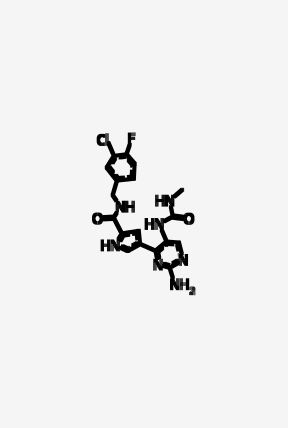 CNC(=O)Nc1cnc(N)nc1-c1c[nH]c(C(=O)NCc2ccc(F)c(Cl)c2)c1